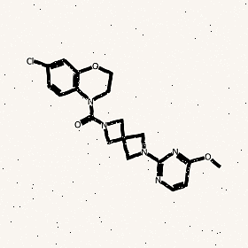 COc1ccnc(N2CC3(CN(C(=O)N4CCOc5cc(Cl)ccc54)C3)C2)n1